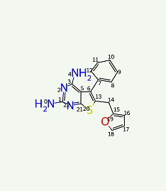 Nc1nc(N)c2c(-c3ccccc3)c(Cc3ccco3)sc2n1